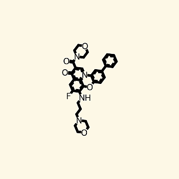 O=C(c1cn2c3c(c(NCCCN4CCOCC4)c(F)cc3c1=O)Oc1ccc(-c3ccccc3)cc1-2)N1CCOCC1